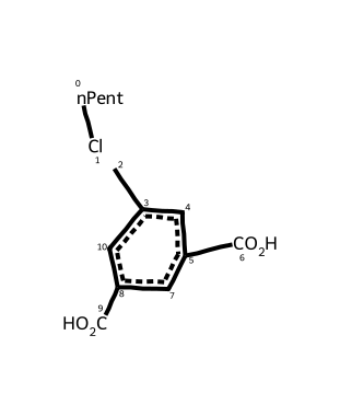 CCCCCCl.Cc1cc(C(=O)O)cc(C(=O)O)c1